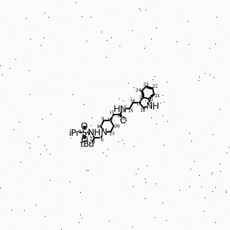 CC(C)S(=O)(=O)NC(CN1CCC(CC(=O)NCCC2CNc3ccccc32)CC1)C(C)(C)C